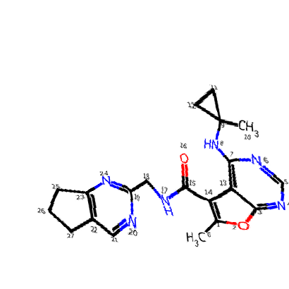 Cc1oc2ncnc(NC3(C)CC3)c2c1C(=O)NCc1ncc2c(n1)CCC2